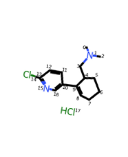 CN(C)CC1CCCC=C1c1ccc(Cl)nc1.Cl